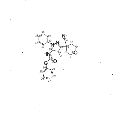 CC1C(C2(C#N)CCOCC2)=NN(c2ccccc2)C1NC(=O)Oc1ccccc1